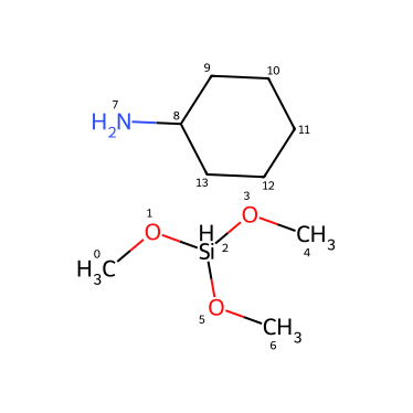 CO[SiH](OC)OC.NC1CCCCC1